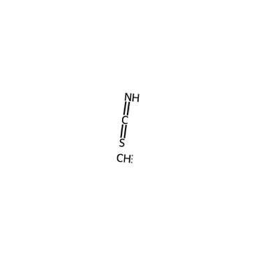 N=C=S.[CH]